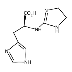 O=C(O)[C@H](Cc1c[nH]cn1)NC1=NCCN1